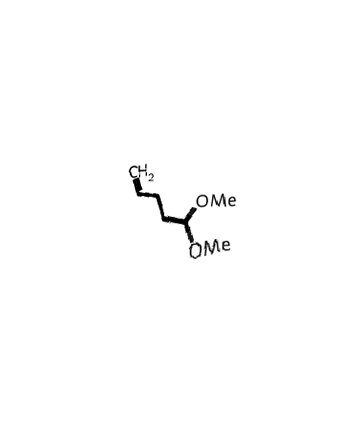 C=CCCC(OC)OC